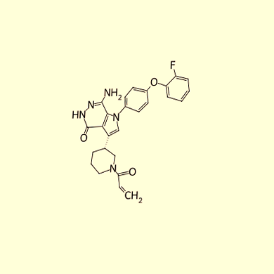 C=CC(=O)N1CCC[C@H](c2cn(-c3ccc(Oc4ccccc4F)cc3)c3c(N)n[nH]c(=O)c23)C1